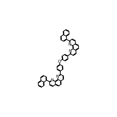 c1ccc2c(-c3ccc4ccc5ccc(-c6ccc(Oc7ccc(-c8ccc9ccc%10ccc(-c%11cccc%12ccccc%11%12)nc%10c9n8)cc7)cc6)nc5c4n3)cccc2c1